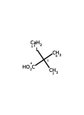 CC(C)(I)C(=O)O.[CaH2]